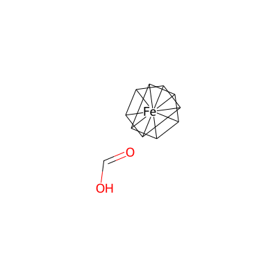 O=CO.[CH]12[CH]3[CH]4[CH]5[CH]1[Fe]23451678[CH]2[CH]1[CH]6[CH]7[CH]28